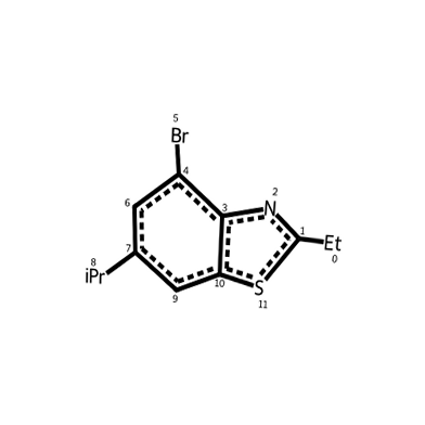 CCc1nc2c(Br)cc(C(C)C)cc2s1